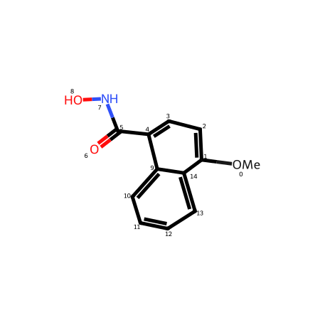 COc1ccc(C(=O)NO)c2ccccc12